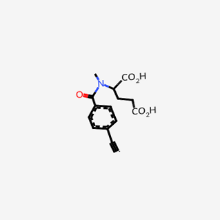 [C]#Cc1ccc(C(=O)N(C)C(CCC(=O)O)C(=O)O)cc1